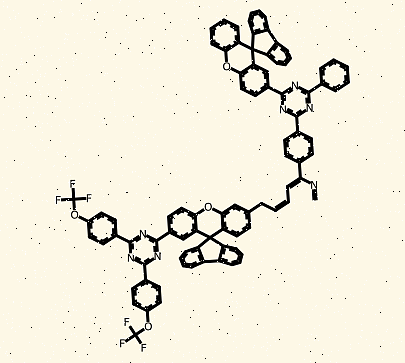 C=N/C(=C\C=C/Cc1ccc2c(c1)Oc1ccc(-c3nc(-c4ccc(OC(F)(F)F)cc4)nc(-c4ccc(OC(F)(F)F)cc4)n3)cc1C21c2ccccc2-c2ccccc21)c1ccc(-c2nc(-c3ccccc3)nc(-c3ccc4c(c3)C3(c5ccccc5O4)c4ccccc4-c4ccccc43)n2)cc1